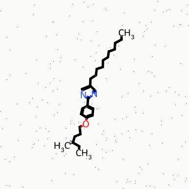 CCCCCCCCCCCc1cnc(-c2ccc(OCCC[C@@H](C)CC)cc2)nc1